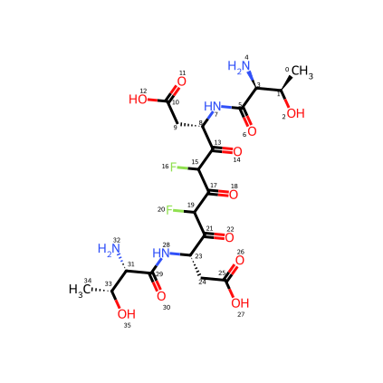 C[C@@H](O)[C@H](N)C(=O)N[C@@H](CC(=O)O)C(=O)C(F)C(=O)C(F)C(=O)[C@H](CC(=O)O)NC(=O)[C@@H](N)[C@@H](C)O